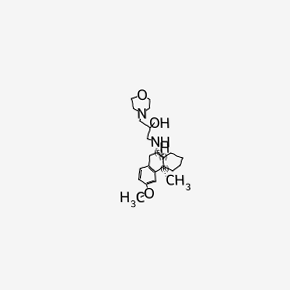 CC[C@@]12CCCC[C@@H]1[C@@H](NCC(O)CN1CCOCC1)Cc1ccc(OC)cc12